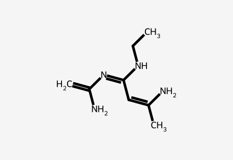 C=C(N)/N=C(\C=C(\C)N)NCC